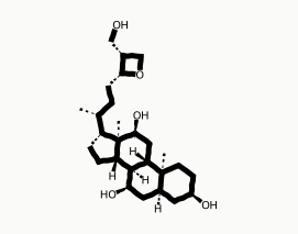 C[C@H](CC[C@H]1OC[C@H]1CO)[C@H]1CC[C@H]2[C@@H]3[C@H](O)C[C@@H]4C[C@H](O)CC[C@]4(C)[C@H]3C[C@H](O)[C@]12C